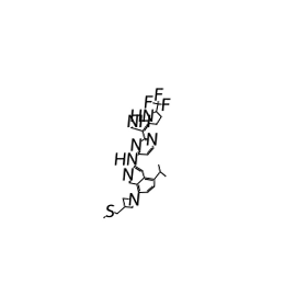 CSCC1CN(c2ccc(C(C)C)c3cc(Nc4ccnc(/C(C=N)=C5\CCC(C(F)(F)F)N5)n4)ncc23)C1